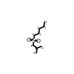 [CH2]CCCCS(=O)(=O)CC(C)C